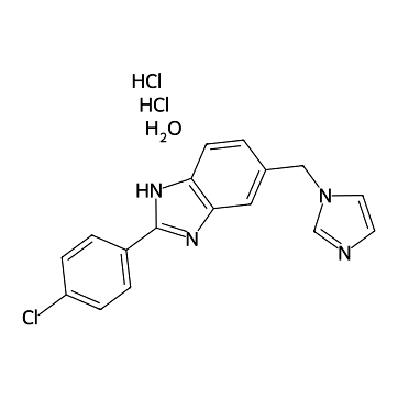 Cl.Cl.Clc1ccc(-c2nc3cc(Cn4ccnc4)ccc3[nH]2)cc1.O